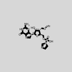 CCCOC[C@H]1[C@@H](O)[C@H](n2cnc3c(=O)[nH]c(N)nc32)O[C@@H]1COP(=O)(O)n1ccnc1